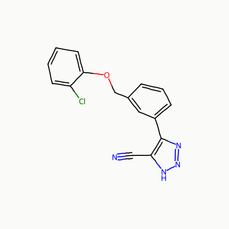 N#Cc1[nH]nnc1-c1cccc(COc2ccccc2Cl)c1